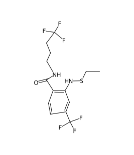 CCSNc1cc(C(F)(F)F)ccc1C(=O)NCCCC(F)(F)F